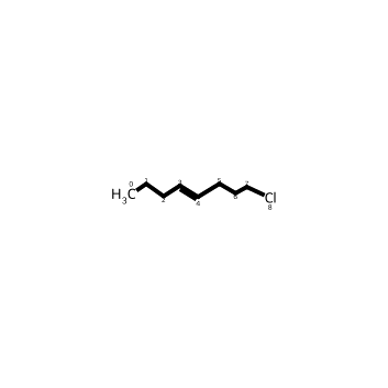 CCCC=CCCCCl